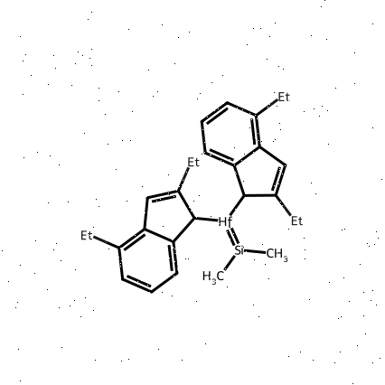 CCC1=Cc2c(CC)cccc2[CH]1[Hf]([CH]1C(CC)=Cc2c(CC)cccc21)=[Si](C)C